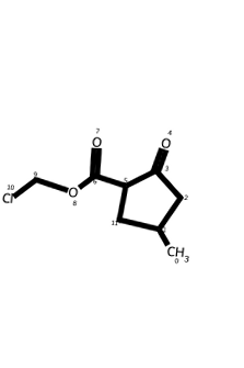 CC1CC(=O)C(C(=O)OCCl)C1